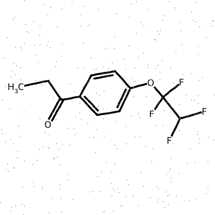 CCC(=O)c1ccc(OC(F)(F)C(F)F)cc1